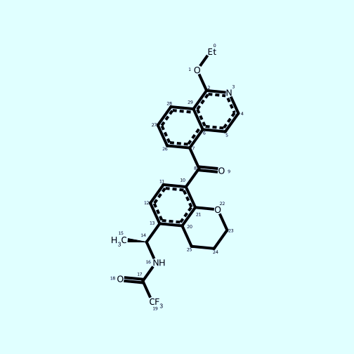 CCOc1nccc2c(C(=O)c3ccc([C@H](C)NC(=O)C(F)(F)F)c4c3OCCC4)cccc12